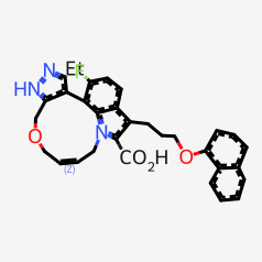 CCc1n[nH]c2c1-c1c(F)ccc3c(CCCOc4cccc5ccccc45)c(C(=O)O)n(c13)C/C=C\COC2